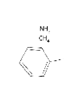 C.Cc1ccccc1.N